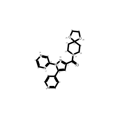 O=C(c1cc(-c2ccncc2)n(-c2cnccn2)n1)N1CCC2(CC1)OCCO2